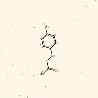 CC(C)(C)C(=O)CNc1ccc(C(C)(C)C)cc1